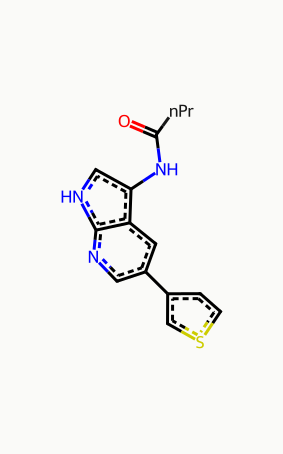 CCCC(=O)Nc1c[nH]c2ncc(-c3ccsc3)cc12